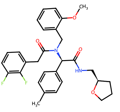 COc1ccccc1CN(C(=O)Cc1cccc(F)c1F)[C@@H](C(=O)NC[C@H]1CCCO1)c1ccc(C)cc1